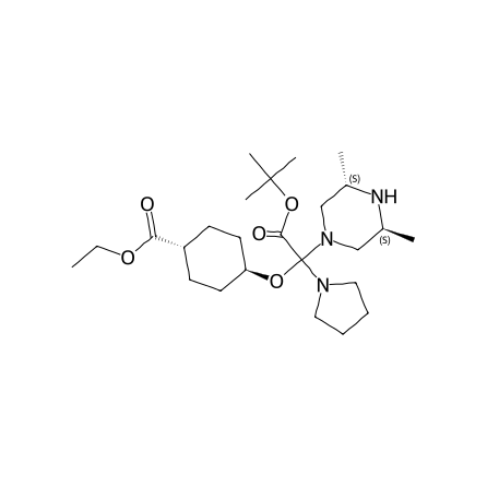 CCOC(=O)[C@H]1CC[C@H](OC(C(=O)OC(C)(C)C)(N2CCCC2)N2C[C@H](C)N[C@@H](C)C2)CC1